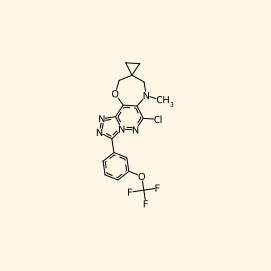 CN1CC2(CC2)COc2c1c(Cl)nn1c(-c3cccc(OC(F)(F)F)c3)nnc21